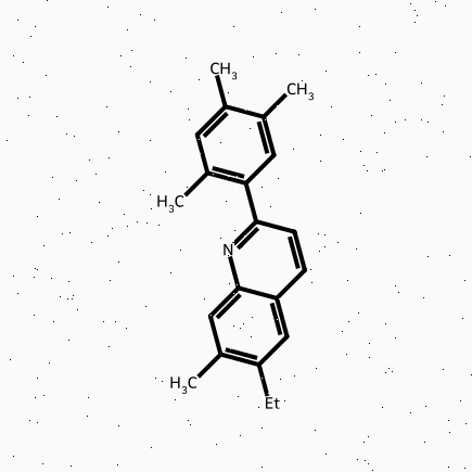 CCc1cc2ccc(-c3cc(C)c(C)cc3C)nc2cc1C